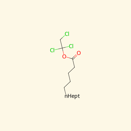 CCCCCCCCCCCC(=O)OC(Cl)(Cl)CCl